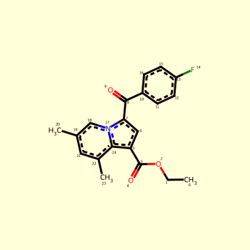 CCOC(=O)c1cc(C(=O)c2ccc(F)cc2)n2cc(C)cc(C)c12